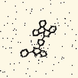 c1ccc(-c2nc(-c3ccc(-c4nc5ccccc5c5c6ccccc6c6ccccc6c45)cc3)c3ccccc3n2)cc1